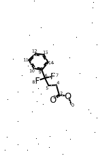 COC(=O)CCC(F)(F)c1ccccc1